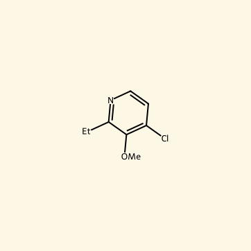 CCc1nccc(Cl)c1OC